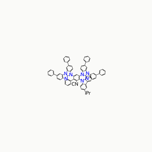 CC(C)c1ccc2c(c1)c1ccccc1n2-c1c(-n2c3ccc(-c4ccccc4)cc3n3c4cc(-c5ccccc5)ccc4nc23)cc(-n2c3ccc(-c4ccccc4)cc3n3c4cc(-c5ccccc5)ccc4nc23)c(-c2ccccc2)c1C#N